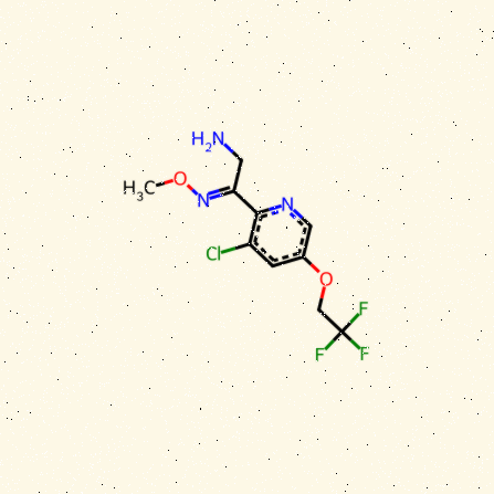 CON=C(CN)c1ncc(OCC(F)(F)F)cc1Cl